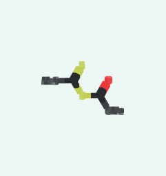 COC(=O)SC(=S)SC